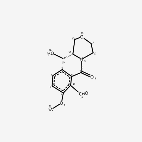 CCOc1cccc(C(=O)N2CCOC[C@H]2CO)c1C=O